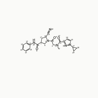 CN(CC(=O)N1CC(C(=O)Nc2ccccc2)CC1C#N)C(=O)c1ccn(C2CC2)n1